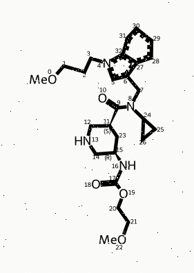 COCCCn1cc(CN(C(=O)[C@@H]2CNC[C@H](NC(=O)OCCOC)C2)C2CC2)c2ccccc21